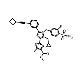 COC(=O)c1nc(-c2cc(-c3cccc(C#CC4CCC4)c3)n(Cc3ccc(S(N)(=O)=O)c(F)c3)c2CC2CC2)sc1C